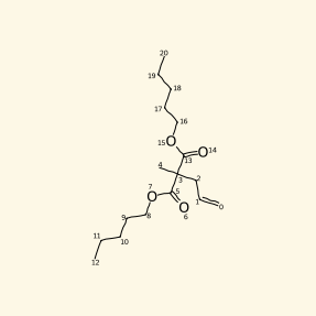 C=CCC(C)(C(=O)OCCCCC)C(=O)OCCCCC